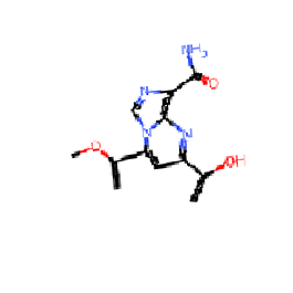 C=C(O)c1cc(C(=C)OC)n2cnc(C(N)=O)c2n1